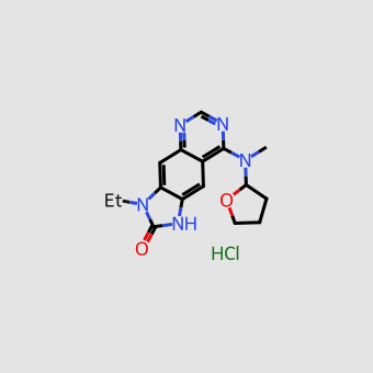 CCn1c(=O)[nH]c2cc3c(N(C)C4CCCO4)ncnc3cc21.Cl